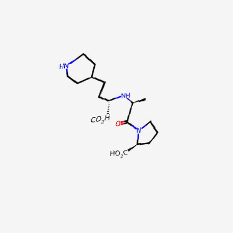 C[C@H](N[C@@H](CCC1CCNCC1)C(=O)O)C(=O)N1CCC[C@H]1C(=O)O